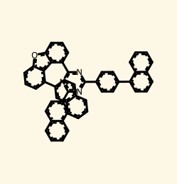 c1ccc2cc(-c3nc(-c4ccc(-c5cccc6ccccc56)cc4)nc(-c4cccc5oc6cccc(-c7ccc8ccccc8c7)c6c45)n3)ccc2c1